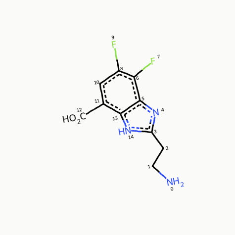 NCCc1nc2c(F)c(F)cc(C(=O)O)c2[nH]1